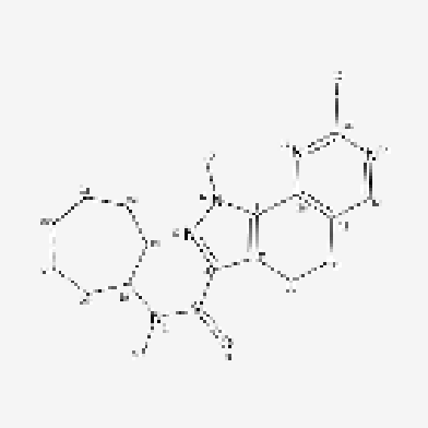 CN(C(=O)c1nn(C)c2c1CCc1cnc(I)nc1-2)C1CCCCCC1